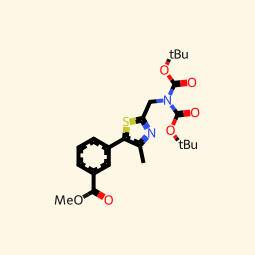 COC(=O)c1cccc(-c2sc(CN(C(=O)OC(C)(C)C)C(=O)OC(C)(C)C)nc2C)c1